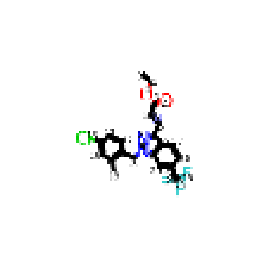 CCOC(=O)/C=C/c1nn(Cc2ccc(Cl)cc2C)c2cc(C(F)(F)F)ccc12